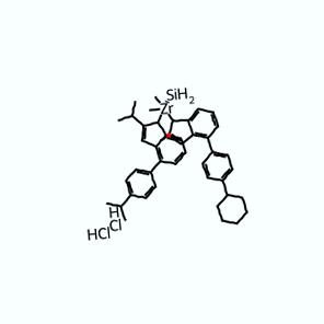 CC1=Cc2c(-c3ccc(C4CCCCC4)cc3)cccc2[CH]1[Zr]([CH3])([CH3])(=[SiH2])[CH]1C(C(C)C)=Cc2c(-c3ccc(C(C)C)cc3)cccc21.Cl.Cl